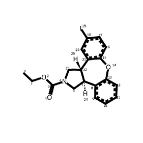 CCOC(=O)N1C[C@@H]2c3ccccc3Oc3ccc(I)cc3[C@H]2C1